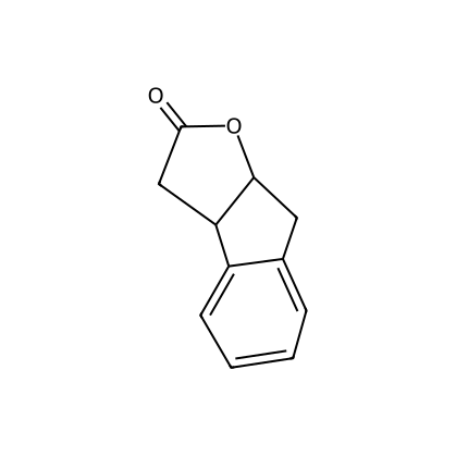 O=C1CC2c3ccccc3CC2O1